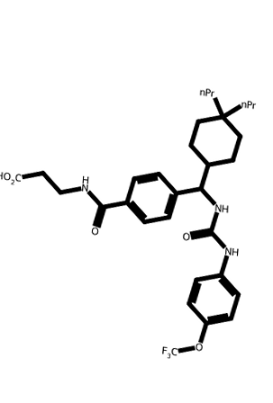 CCCC1(CCC)CCC(C(NC(=O)Nc2ccc(OC(F)(F)F)cc2)c2ccc(C(=O)NCCC(=O)O)cc2)CC1